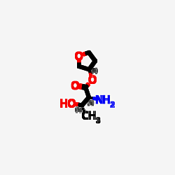 C[C@H](O)[C@H](N)C(=O)O[C@@H]1CCOC1